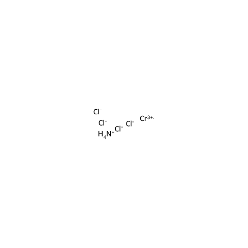 [Cl-].[Cl-].[Cl-].[Cl-].[Cr+3].[NH4+]